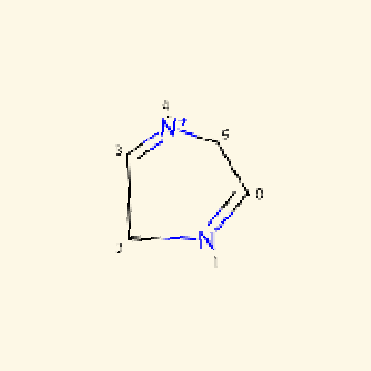 C1=NCC=[N+]C1